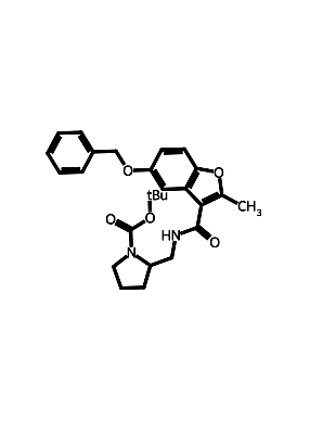 Cc1oc2ccc(OCc3ccccc3)cc2c1C(=O)NCC1CCCN1C(=O)OC(C)(C)C